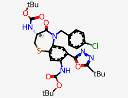 CC(C)(C)OC(=O)Nc1cc2c(cc1-c1nnc(C(C)(C)C)o1)N(Cc1ccc(Cl)cc1)C(=O)[C@@H](NC(=O)OC(C)(C)C)CS2